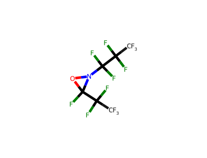 FC(F)(F)C(F)(F)C(F)(F)N1OC1(F)C(F)(F)C(F)(F)F